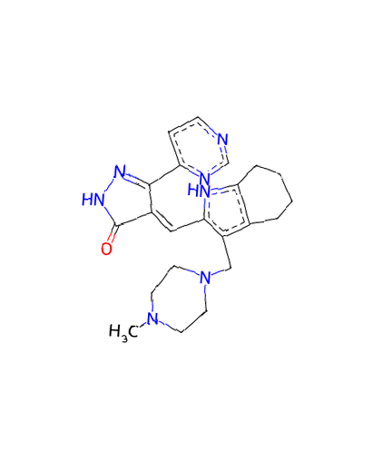 CN1CCN(Cc2c(/C=C3/C(=O)NN=C3c3ccncn3)[nH]c3c2CCCC3)CC1